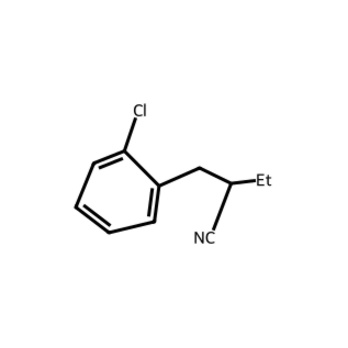 CCC(C#N)Cc1ccccc1Cl